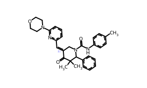 Cc1ccc(NC(=O)N2C/C(=C\c3cccc(N4CCOCC4)n3)C(=O)C(C)(C)C2c2ccccc2)cc1